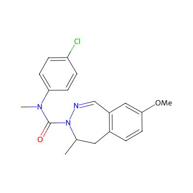 COc1ccc2c(c1)C=NN(C(=O)N(C)c1ccc(Cl)cc1)C(C)C2